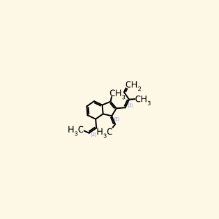 C=C/C(C)=C\C1=C(C)C2=CC=CC(/C=C\C)C2/C1=C\C